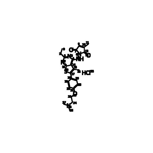 CCc1nc(NN2C(=O)C=C(C)C2=O)c2c(C)c(-c3ccc(OCCN(C)C)cc3)sc2n1.Cl